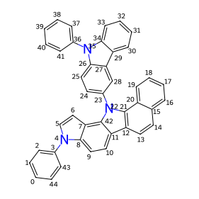 c1ccc(-n2ccc3c2ccc2c4ccc5ccccc5c4n(-c4ccc5c(c4)c4ccccc4n5-c4ccccc4)c23)cc1